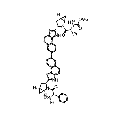 CCN(CC)[C@@H](C(=O)N1[C@@H]2C[C@@H]2C[C@H]1c1nc2c(ccc3cc(-c4ccc5c(ccc6nc([C@@H]7C[C@H]8C[C@H]8N7C(=O)[C@@H](NC(=O)OC)C(C)C)[nH]c65)c4)ccc32)[nH]1)c1ccccc1